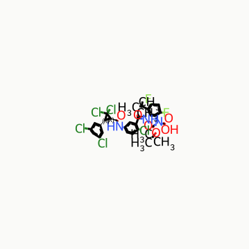 CC(C)(C)OC(=O)N(C(=O)O)c1c(F)cc(F)c(C(C)(C)C)c1NC(=O)c1cc(NC(=O)[C@H]2[C@H](c3cc(Cl)cc(Cl)c3)C2(Cl)Cl)ccc1Cl